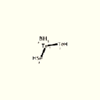 [BiH3].[SeH][Te][TeH]